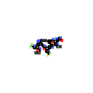 COc1nnc2cc(-c3nc(C(F)F)ccc3-c3cnc(CC(C)(C)C)o3)ccc2c1CC(C)(C)Cc1ncc(-c2ccc(C(F)F)nc2-c2ccc3c(C4CCC(C)(Cc5ncc(-c6ccc(C#N)nc6-c6cnc7c(c6)C(=O)N(C)C7)o5)C4)ccnc3c2)o1